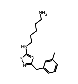 Cc1cccc(Cc2nsc(NCCCCCN)n2)c1